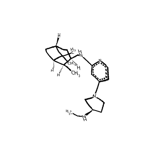 CN[C@@H]1CCN(c2ccnc(N[C@@H]3C[C@H]4C[C@H]([C@@H]3C)C4(C)C)c2)C1